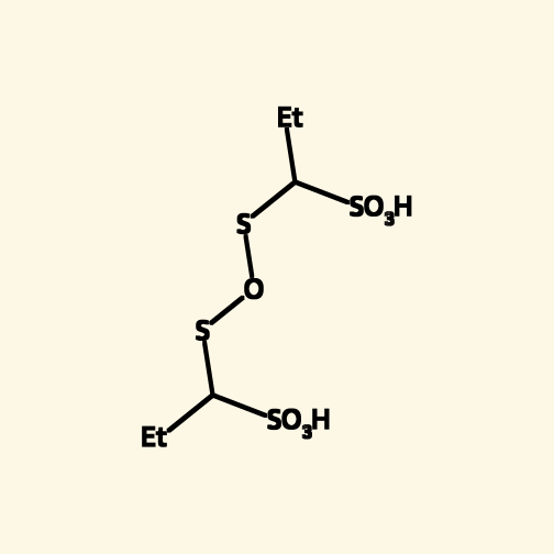 CCC(SOSC(CC)S(=O)(=O)O)S(=O)(=O)O